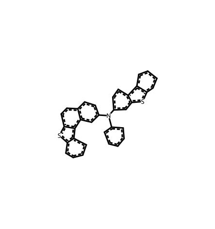 c1ccc(N(c2ccc3c(c2)sc2ccccc23)c2ccc3ccc4sc5ccccc5c4c3c2)cc1